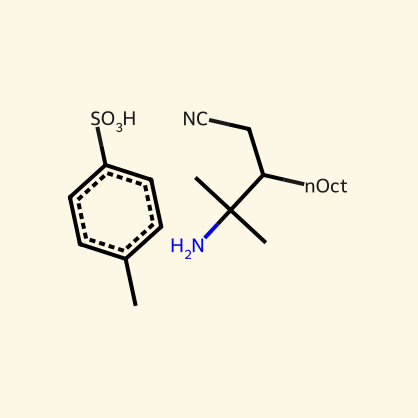 CCCCCCCCC(CC#N)C(C)(C)N.Cc1ccc(S(=O)(=O)O)cc1